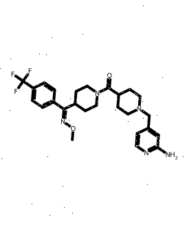 CO/N=C(/c1ccc(C(F)(F)F)cc1)C1CCN(C(=O)C2CCN(Cc3ccnc(N)c3)CC2)CC1